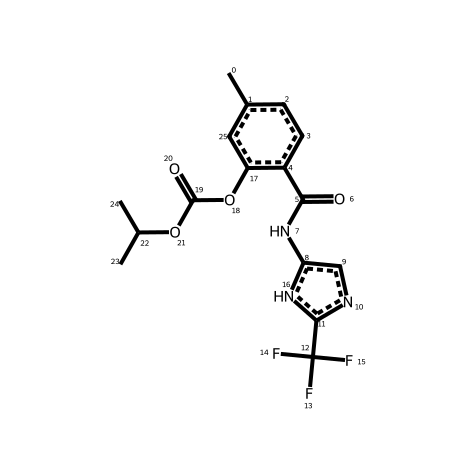 Cc1ccc(C(=O)Nc2cnc(C(F)(F)F)[nH]2)c(OC(=O)OC(C)C)c1